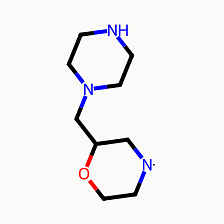 C1COC(CN2CCNCC2)C[N]1